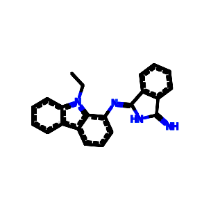 CCn1c2ccccc2c2cccc(N=C3NC(=N)c4ccccc43)c21